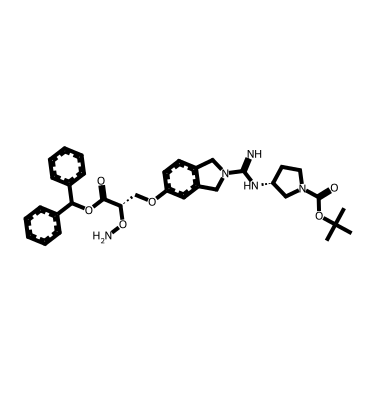 CC(C)(C)OC(=O)N1CC[C@@H](NC(=N)N2Cc3ccc(OC[C@H](ON)C(=O)OC(c4ccccc4)c4ccccc4)cc3C2)C1